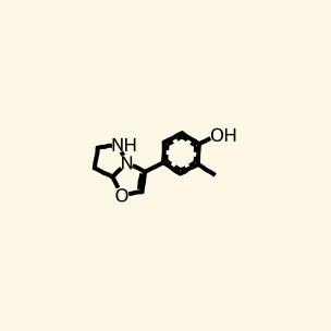 Cc1cc(C2=COC3CCNN23)ccc1O